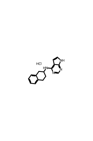 Cl.c1ccc2c(c1)CCC(Nc1ncnc3[nH]ccc13)C2